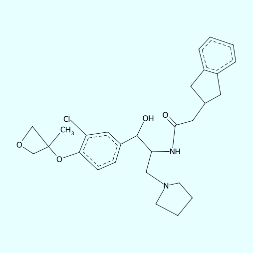 CC1(Oc2ccc(C(O)C(CN3CCCC3)NC(=O)CC3Cc4ccccc4C3)cc2Cl)COC1